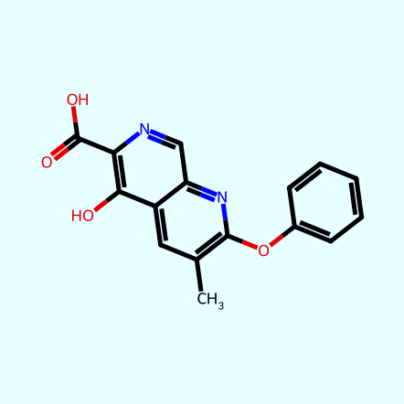 Cc1cc2c(O)c(C(=O)O)ncc2nc1Oc1ccccc1